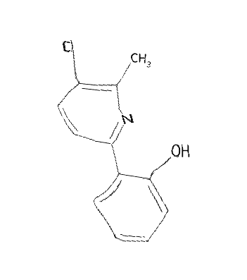 Cc1nc(-c2ccccc2O)ccc1Cl